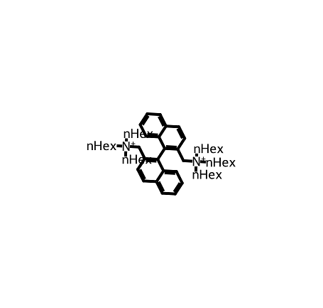 CCCCCC[N+](CCCCCC)(CCCCCC)Cc1ccc2ccccc2c1-c1c(C[N+](CCCCCC)(CCCCCC)CCCCCC)ccc2ccccc12